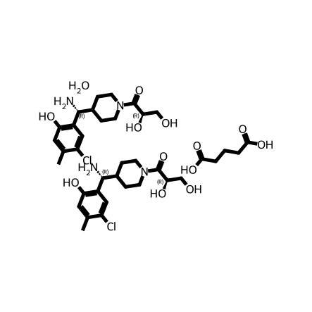 Cc1cc(O)c([C@H](N)C2CCN(C(=O)[C@H](O)CO)CC2)cc1Cl.Cc1cc(O)c([C@H](N)C2CCN(C(=O)[C@H](O)CO)CC2)cc1Cl.O.O=C(O)CCCC(=O)O